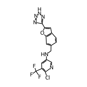 FC(F)(F)c1cc(NCc2ccc3cc(-c4nn[nH]n4)oc3c2)cnc1Cl